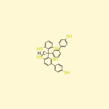 CC(c1cc(-c2ccc(S)cc2)ccc1S)(c1cc(-c2ccc(S)cc2)ccc1S)c1c(S)cccc1S